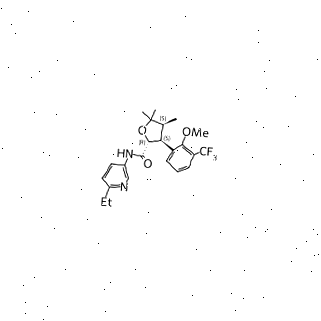 CCc1ccc(NC(=O)[C@@H]2OC(C)(C)[C@@H](C)[C@H]2c2cccc(C(F)(F)F)c2OC)cn1